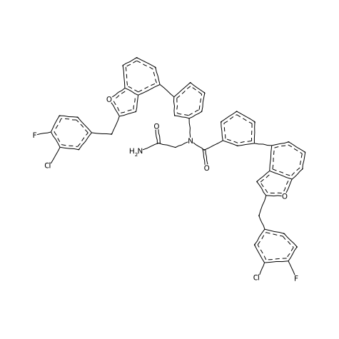 NC(=O)CN(C(=O)c1cccc(-c2cccc3oc(Cc4ccc(F)c(Cl)c4)cc23)c1)c1cccc(-c2cccc3oc(Cc4ccc(F)c(Cl)c4)cc23)c1